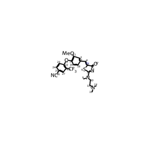 COc1cc(/C=C2\SC(N(C)CCN(C)C)=NC2=O)ccc1Oc1ccc(C#N)cc1C(F)(F)F